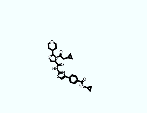 O=C(NC1CC1)c1ccc(-c2csc(NC(=O)C3CSC(C4CCOCC4)N3C(=O)CC3CC3)n2)cc1